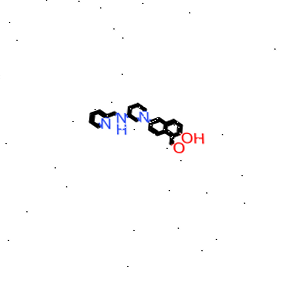 O=Cc1c(O)ccc2cc(N3CCCC(NCc4ccccn4)C3)ccc12